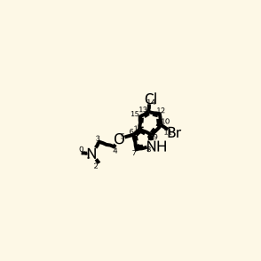 CN(C)CCOc1c[nH]c2c(Br)cc(Cl)cc12